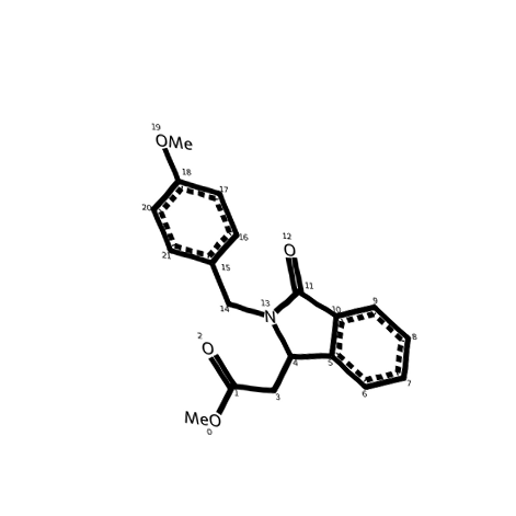 COC(=O)CC1c2ccccc2C(=O)N1Cc1ccc(OC)cc1